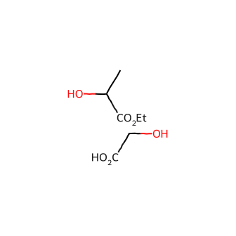 CCOC(=O)C(C)O.O=C(O)CO